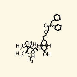 CC(C)=C1C(C)(C)C1(C)C(O)C=C[C@@H]1[C@@H]2CC(CCOCC(=O)N(Cc3ccccc3)c3ccccc3)C[C@H]2C[C@H]1O